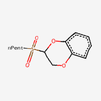 CCCCCS(=O)(=O)C1COc2ccccc2O1